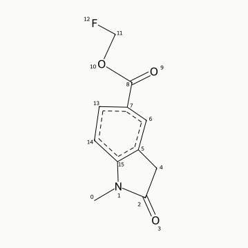 CN1C(=O)Cc2cc(C(=O)OCF)ccc21